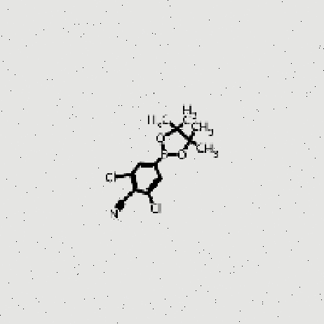 CC1(C)OB(c2cc(Cl)c(C#N)c(Cl)c2)OC1(C)C